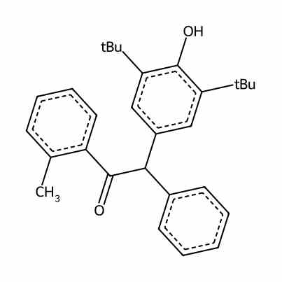 Cc1ccccc1C(=O)C(c1ccccc1)c1cc(C(C)(C)C)c(O)c(C(C)(C)C)c1